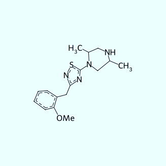 COc1ccccc1Cc1nsc(N2CC(C)NCC2C)n1